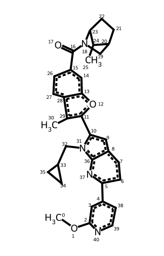 COc1cc(-c2ccc3cc(-c4oc5cc(C(=O)N6CC7CCC6C7C)ccc5c4C)n(CC4CC4)c3n2)ccn1